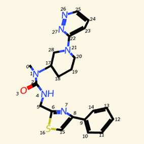 CN(C(=O)NCc1nc(-c2ccccc2)cs1)C1CCCN(c2cccnn2)C1